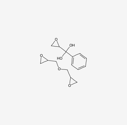 C(OCC1CO1)C1CO1.OC(O)(c1ccccc1)C1CO1